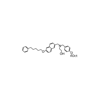 CCCCCCCCOc1ccc(CN(CCO)Cc2ccc3cc(OCCCCCc4ccccc4)ccc3c2)cc1